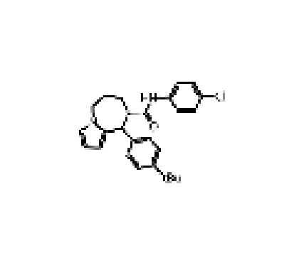 CC(C)(C)c1ccc(C2c3cccn3CCCC2C(=O)Nc2ccc(Cl)cc2)cc1